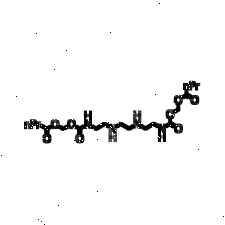 CCCC(=O)OCOC(=O)NCCNCCNCCNC(=O)OCOC(=O)CCC